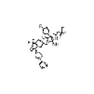 N=C1N[C@](CCCC(F)(F)F)(c2ccc(F)cc2)C(=O)N1Cc1ccc(C(F)(F)F)c(C(=O)N2CCN(c3cncnc3)CC2)c1